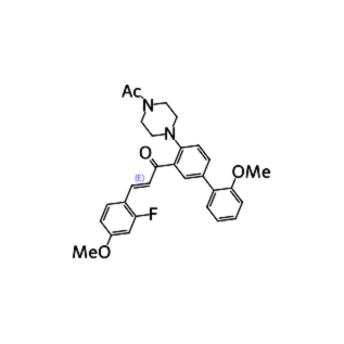 COc1ccc(/C=C/C(=O)c2cc(-c3ccccc3OC)ccc2N2CCN(C(C)=O)CC2)c(F)c1